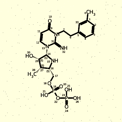 Cc1cccc(CCn2c(=O)ccn([C@@H]3N[C@H](COP(=O)(O)OP(=O)(O)O)[C@H](C)[C@@H]3O)c2=N)c1